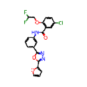 O=C(Nc1cccc(-c2nnc(-c3ccco3)o2)c1)c1cc(Cl)ccc1OCC(F)F